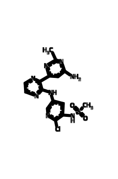 Cc1nc(N)cc(-c2nccnc2Nc2cnc(Cl)c(NS(C)(=O)=O)c2)n1